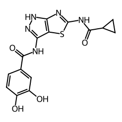 O=C(Nc1n[nH]c2nc(NC(=O)C3CC3)sc12)c1ccc(O)c(O)c1